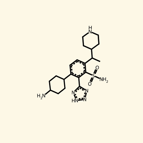 CC(c1ccc(C2CCC(N)CC2)c(-c2nn[nH]n2)c1S(N)(=O)=O)C1CCNCC1